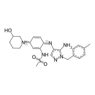 Cc1ccc(Cn2ncc(/N=C3C=C/C(=[N+]4/CCCC(O)C4)C=C/3NS(C)(=O)=O)c2N)cc1